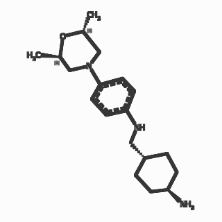 C[C@@H]1CN(c2ccc(NC[C@H]3CC[C@H](N)CC3)cc2)C[C@@H](C)O1